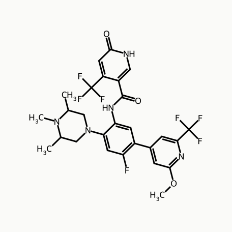 COc1cc(-c2cc(NC(=O)c3c[nH]c(=O)cc3C(F)(F)F)c(N3CC(C)N(C)C(C)C3)cc2F)cc(C(F)(F)F)n1